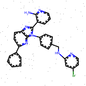 Nc1ncccc1-c1nc2ccc(-c3ccccc3)nc2n1-c1ccc(CNc2cc(Br)ccn2)cc1